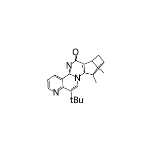 CC(C)(C)c1cn2c3c(c(=O)nc2c2cccnc12)C1CC2C3(C)C12C